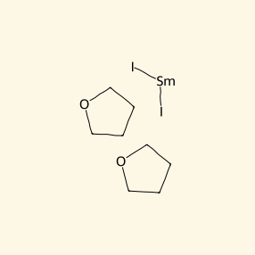 C1CCOC1.C1CCOC1.[I][Sm][I]